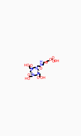 O=C(O)CN1CCN(CC(=O)O)CCN(CC(=O)NCCOCCOC(=O)OO)CCN(CC(=O)O)CC1